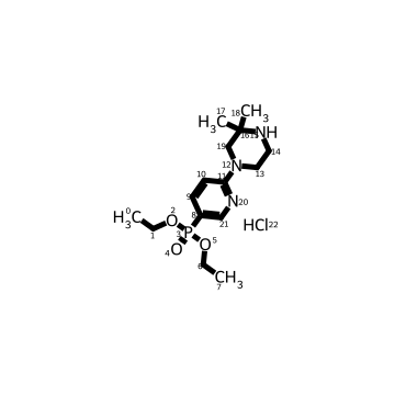 CCOP(=O)(OCC)c1ccc(N2CCNC(C)(C)C2)nc1.Cl